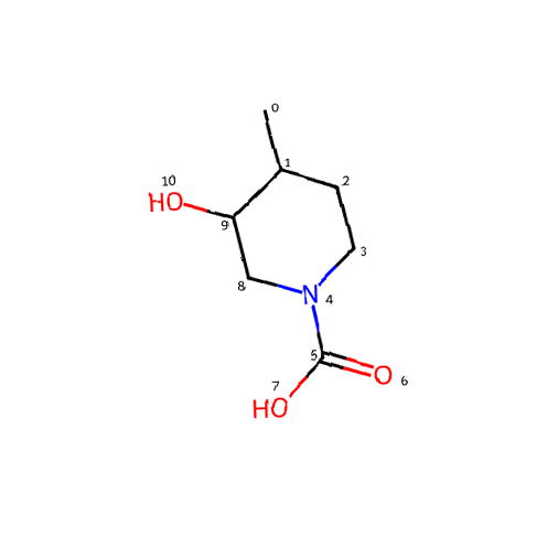 CC1CCN(C(=O)O)CC1O